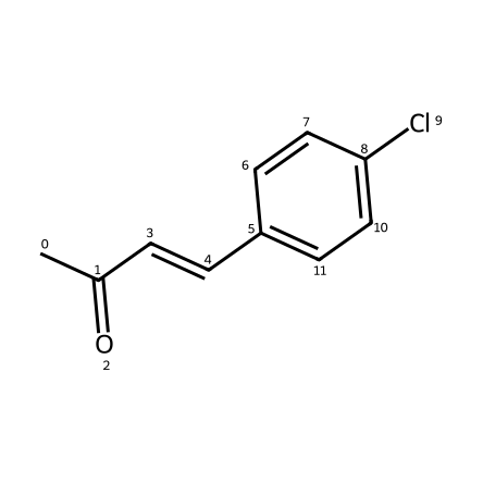 CC(=O)/C=C/c1ccc(Cl)cc1